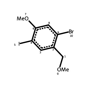 COCc1cc(I)c(OC)cc1Br